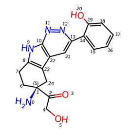 N[C@@]1(C(=O)CO)CCc2[nH]c3nnc(-c4ccccc4O)cc3c2C1